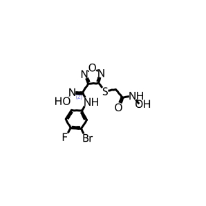 O=C(CSc1nonc1/C(=N/O)Nc1ccc(F)c(Br)c1)NO